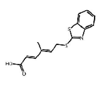 CC(/C=C/C(=O)O)=C\CSc1nc2ccccc2s1